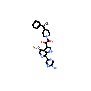 COc1cnc(-c2cnc(N)cn2)c2c1C(C(=O)C(=O)N1CCC(=C(C#N)c3ccccc3)CC1)CN2